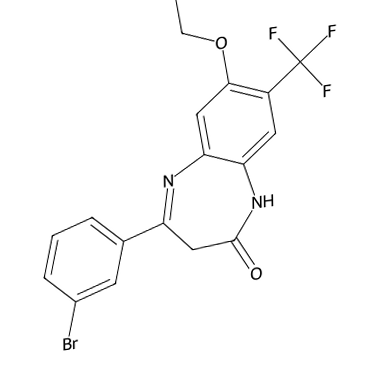 CCOc1cc2c(cc1C(F)(F)F)NC(=O)CC(c1cccc(Br)c1)=N2